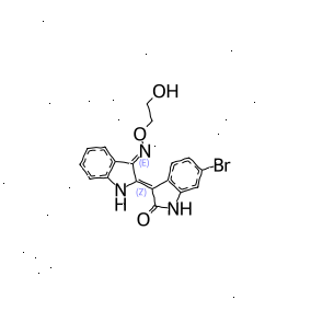 O=C1Nc2cc(Br)ccc2/C1=C1/Nc2ccccc2/C1=N\OCCO